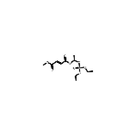 CCOP(=O)(OCC)OC(C)OC(=O)C=CC(=O)OC